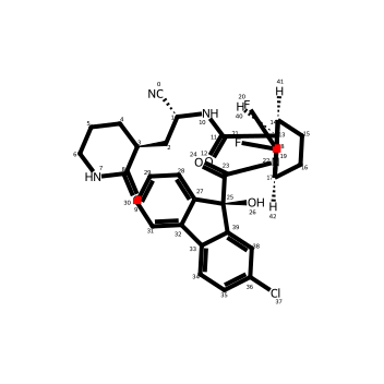 N#C[C@@H](C[C@@H]1CCCNC1=O)NC(=O)[C@H]1[C@H]2CC[C@H](CC2(F)F)N1C(=O)[C@@]1(O)c2ccccc2-c2ccc(Cl)cc21